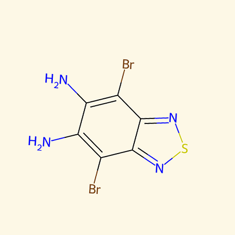 Nc1c(N)c(Br)c2nsnc2c1Br